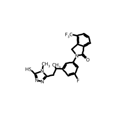 CC(Cc1nnc(S)n1C)c1cc(F)cc(N2Cc3c(cccc3C(F)(F)F)C2=O)c1